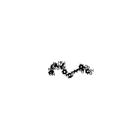 O=C1CCC(N2C(=O)c3cccc(NCCCOC[C@@H]4CN(C[C@H]5CC[C@H](n6cc(NC(=O)c7cnn8ccc(N9C[C@H]%10C[C@@H]9CO%10)nc78)c(C(F)F)n6)CC5)CCO4)c3C2=O)C(=O)N1